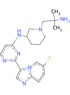 CC(C)(N)CN1CCCC(Nc2ccnc(-c3cnc4ccc(F)cn34)n2)C1